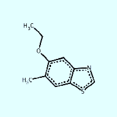 CCOc1cc2ncsc2cc1C